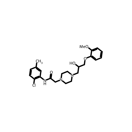 COc1ccccc1OCC(O)CN1CCN(CC(=O)Nc2cc(C)ccc2Cl)CC1